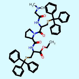 CCOC(=O)C(CSC(c1ccccc1)(c1ccccc1)c1ccccc1)NC(=O)C1CCCN1C(=O)C(CSC(c1ccccc1)(c1ccccc1)c1ccccc1)NC(=O)CN(C)C